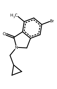 Cc1cc(Br)cc2c1C(=O)N(CC1CC1)C2